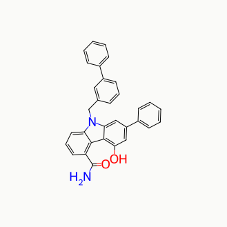 NC(=O)c1cccc2c1c1c(O)cc(-c3ccccc3)cc1n2Cc1cccc(-c2ccccc2)c1